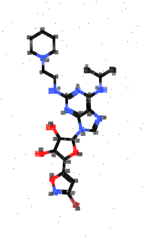 CCC(CC)Nc1nc(NCCN2CCCCC2)nc2c1ncn2C1OC(c2cc(Br)no2)C(O)C1O